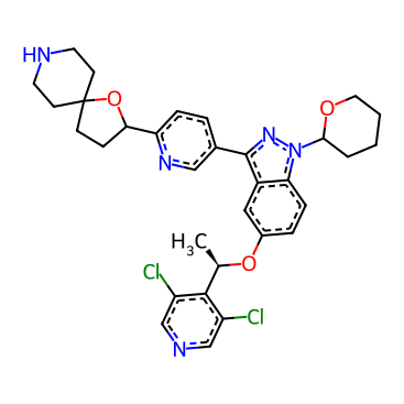 C[C@@H](Oc1ccc2c(c1)c(-c1ccc(C3CCC4(CCNCC4)O3)nc1)nn2C1CCCCO1)c1c(Cl)cncc1Cl